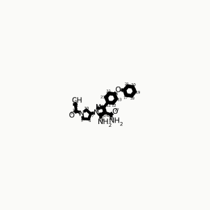 C#CC(=O)N1CCC(n2nc(-c3ccc(Oc4ccccc4)cc3)c(C(N)=O)c2N)C1